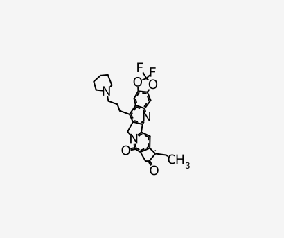 CC[C]1C(=O)Cc2c1cc1n(c2=O)Cc2c-1nc1cc3c(cc1c2CCCN1CCCCC1)OC(F)(F)O3